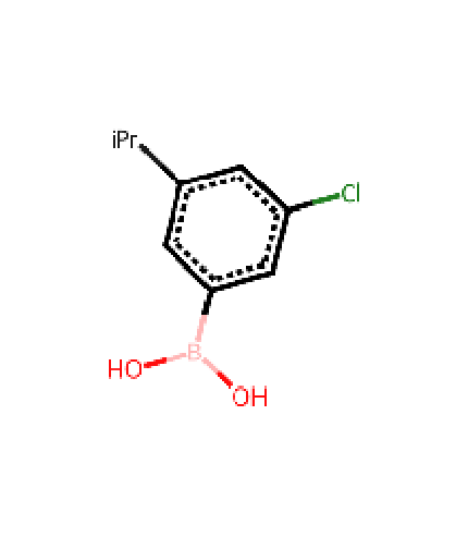 CC(C)c1cc(Cl)cc(B(O)O)c1